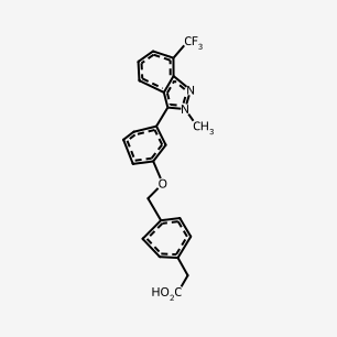 Cn1nc2c(C(F)(F)F)cccc2c1-c1cccc(OCc2ccc(CC(=O)O)cc2)c1